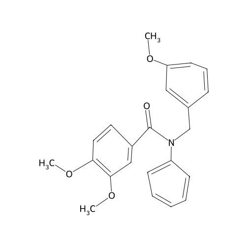 COc1cccc(CN(C(=O)c2ccc(OC)c(OC)c2)c2ccccc2)c1